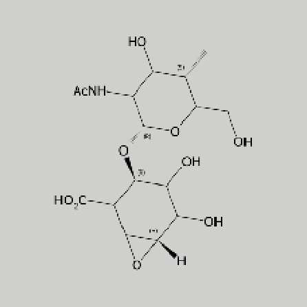 CC(=O)NC1C(O)[C@H](C)C(CO)O[C@@H]1O[C@H]1C(O)C(O)[C@@H]2OC2C1C(=O)O